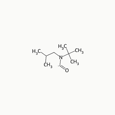 CC(C)CN([C]=O)C(C)(C)C